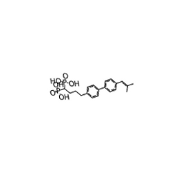 CC(C)=Cc1ccc(-c2ccc(CCCC(P(=O)(O)O)P(=O)(O)O)cc2)cc1